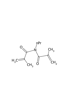 [CH2]CCN(C(=O)C(=C)C)C(=O)C(=C)C